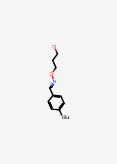 CC(C)(C)c1ccc(/C=N/OCCC[O])cc1